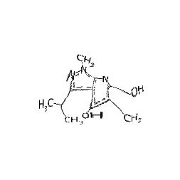 Cc1c(O)nc2c(c(C(C)C)nn2C)c1O